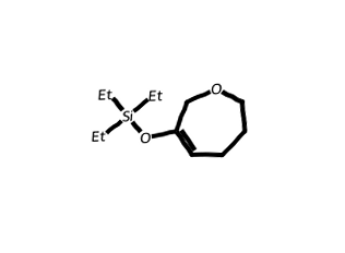 CC[Si](CC)(CC)OC1=CCCCOC1